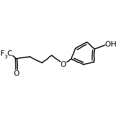 O=C(CCCOc1ccc(O)cc1)C(F)(F)F